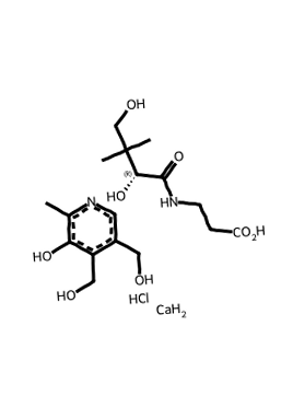 CC(C)(CO)[C@@H](O)C(=O)NCCC(=O)O.Cc1ncc(CO)c(CO)c1O.Cl.[CaH2]